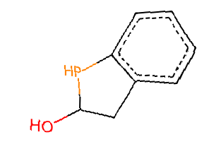 OC1Cc2ccccc2P1